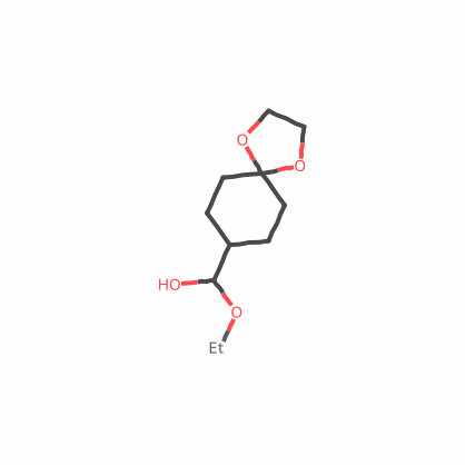 CCOC(O)C1CCC2(CC1)OCCO2